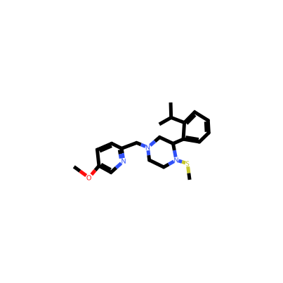 COc1ccc(CN2CCN(SC)C(c3ccccc3C(C)C)C2)nc1